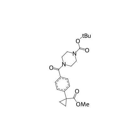 COC(=O)C1(c2ccc(C(=O)N3CCN(C(=O)OC(C)(C)C)CC3)cc2)CC1